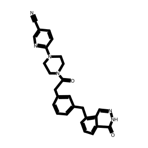 N#Cc1ccc(N2CCN(C(=O)Cc3cccc(Cc4cccc5c(=O)[nH]ncc45)c3)CC2)nc1